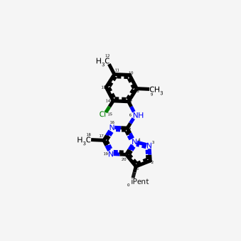 CCCC(C)c1cnn2c(Nc3c(C)cc(C)cc3Cl)nc(C)nc12